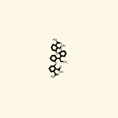 CCC(c1ccccc1Oc1cccc(C(=O)O)c1C(=O)O)c1ccccc1Oc1cccc(C(=O)O)c1C(=O)O